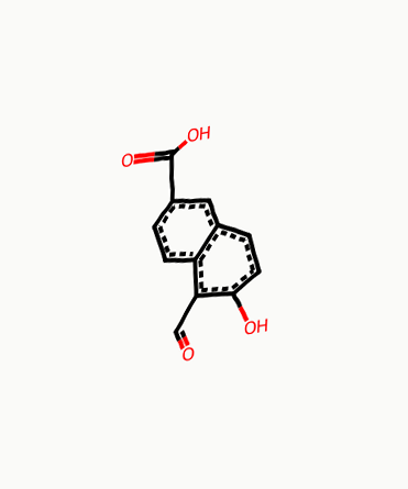 O=Cc1c(O)ccc2cc(C(=O)O)ccc12